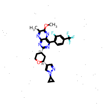 COc1nc2c(-c3ccc(C(F)(F)F)cc3F)nc([C@H]3CCO[C@@H](c4cnn(C5CC5)c4)C3)nc2nc1C